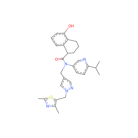 Cc1nc(C)c(Cn2cc(CN(C(=O)C3CCCc4c(O)cccc43)c3ccc(C(C)C)nc3)cn2)s1